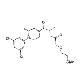 COCCOCC(=O)CC(C)C(=O)N1CCN(c2cc(Cl)cc(Cl)c2)[C@@H](C)C1